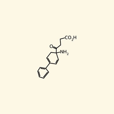 NC1(C(=O)CCC(=O)O)C=CC(c2ccccc2)=CC1